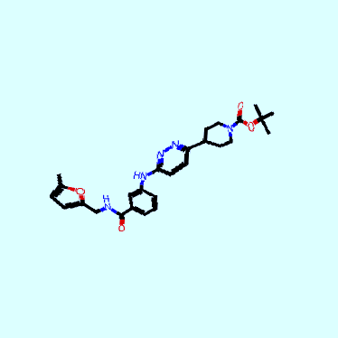 Cc1ccc(CNC(=O)c2cccc(Nc3ccc(C4CCN(C(=O)OC(C)(C)C)CC4)nn3)c2)o1